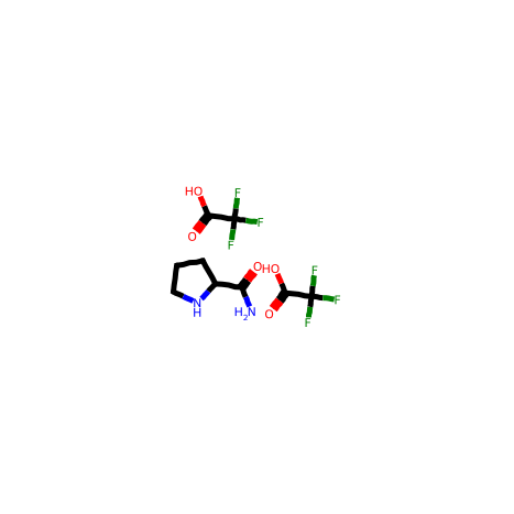 NC(=O)C1CCCN1.O=C(O)C(F)(F)F.O=C(O)C(F)(F)F